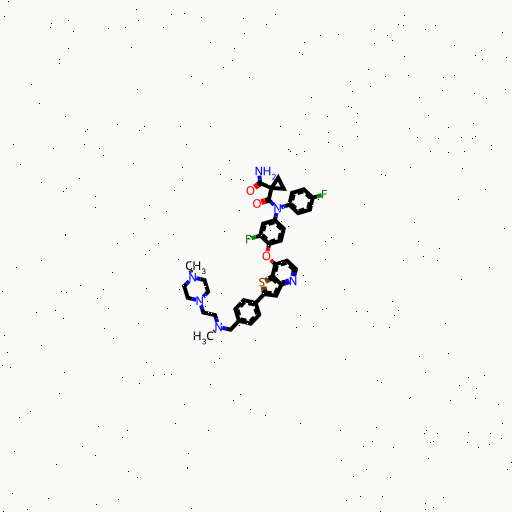 CN1CCN(CCN(C)Cc2ccc(-c3cc4nccc(Oc5ccc(N(C(=O)C6(C(N)=O)CC6)c6ccc(F)cc6)cc5F)c4s3)cc2)CC1